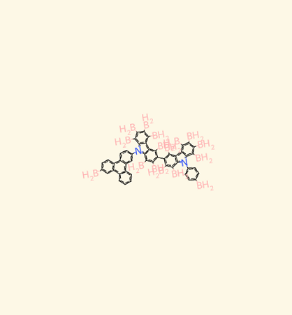 Bc1ccc(-n2c3c(B)c(B)c(B)c(B)c3c3c(B)c(-c4c(B)c(B)c5c(c4B)c4c(B)c(B)c(B)c(B)c4n5-c4ccc5c6ccc(B)cc6c6ccccc6c5c4)c(B)c(B)c32)cc1